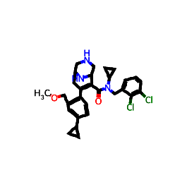 COCc1cc(C2CC2)ccc1C1=C(C(=O)N(Cc2cccc(Cl)c2Cl)C2CC2)C2CNCC(C1)N2